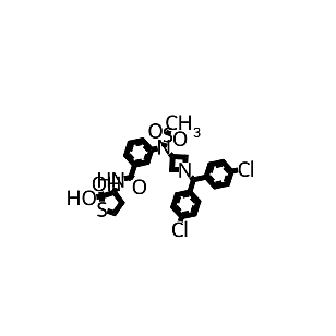 CS(=O)(=O)N(c1cccc(C(=O)NC2CCSC2(O)O)c1)C1CN(C(c2ccc(Cl)cc2)c2ccc(Cl)cc2)C1